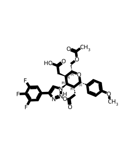 COc1ccc([C@H]2O[C@@H](COC(C)=O)[C@H](CC(=O)O)[C@H](n3cc(-c4cc(F)c(F)c(F)c4)nn3)[C@H]2CC(=O)O)cc1